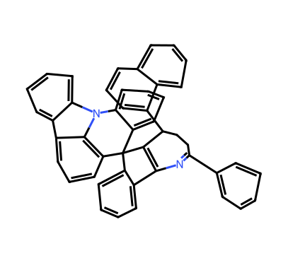 c1ccc(C2=NC3=C(C(c4cccc5ccccc45)CC2)C2(c4ccccc43)c3ccccc3-n3c4ccccc4c4cccc2c43)cc1